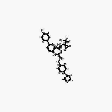 Fc1ccc(-c2ccc3nc(NCc4ccc(-n5ccnc5)cc4)nc(NC4(C(F)(F)F)CC4)c3n2)cc1